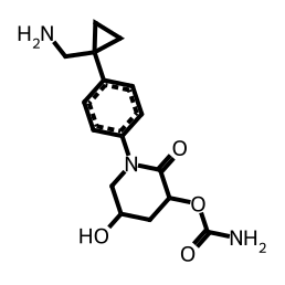 NCC1(c2ccc(N3CC(O)CC(OC(N)=O)C3=O)cc2)CC1